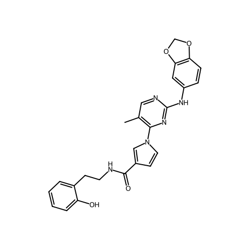 Cc1cnc(Nc2ccc3c(c2)OCO3)nc1-n1ccc(C(=O)NCCc2ccccc2O)c1